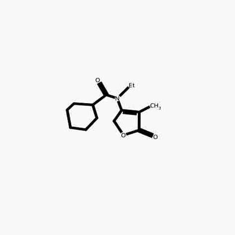 CCN(C(=O)C1CCCCC1)C1=C(C)C(=O)OC1